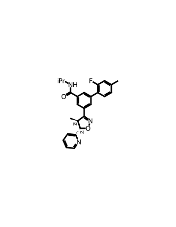 Cc1ccc(-c2cc(C(=O)NC(C)C)cc(C3=NO[C@H](c4ccccn4)[C@H]3C)c2)c(F)c1